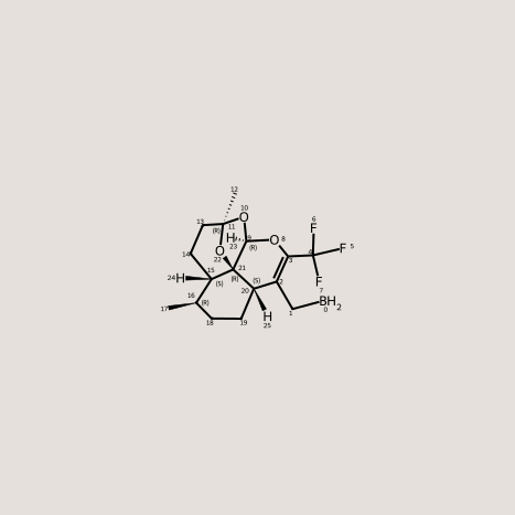 BCC1=C(C(F)(F)F)O[C@@H]2O[C@]3(C)CC[C@H]4[C@H](C)CC[C@@H]1[C@@]24O3